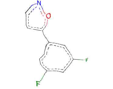 Fc1cc(F)cc(-c2ccno2)c1